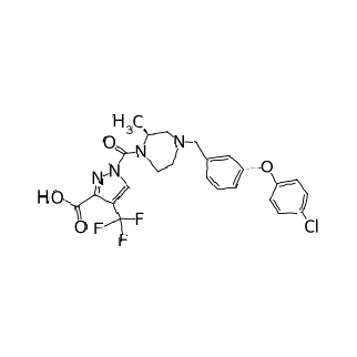 C[C@H]1CN(Cc2cccc(Oc3ccc(Cl)cc3)c2)CCN1C(=O)n1cc(C(F)(F)F)c(C(=O)O)n1